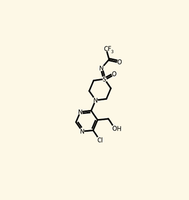 O=C(N=S1(=O)CCN(c2ncnc(Cl)c2CO)CC1)C(F)(F)F